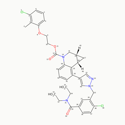 Cc1c(Cl)cccc1OCCOC(=O)N1C[C@@H]2C[C@@H]2c2c(-c3cnn(Cc4cc(C(=O)N(CC(=O)O)CC(=O)O)ccc4Cl)c3)cccc21